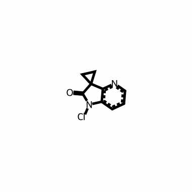 O=C1N(Cl)c2cccnc2C12CC2